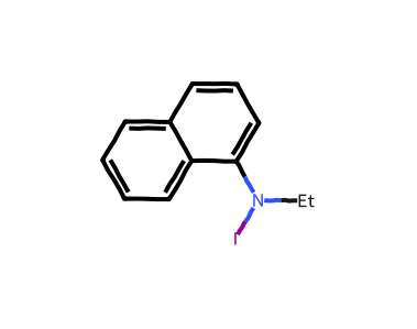 CCN(I)c1cccc2ccccc12